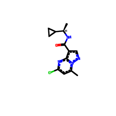 Cc1cc(Cl)nc2c(C(=O)N[C@H](C)C3CC3)cnn12